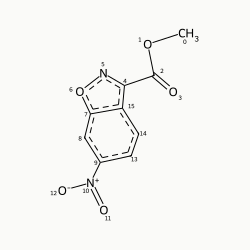 COC(=O)c1noc2cc([N+](=O)[O-])ccc12